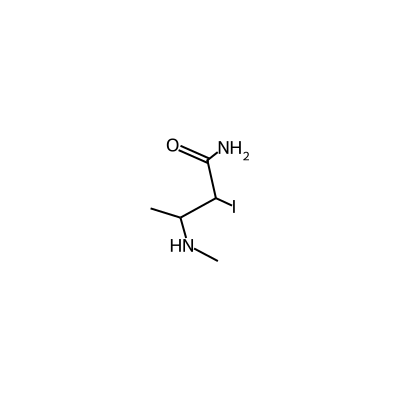 CNC(C)C(I)C(N)=O